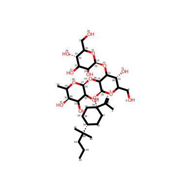 C=C(C)[C@]1(O[C@@H]2OC(CO)[C@@H](O)C(O[C@@H]3OC(CO)[C@@H](O)C(O)C3O)C2O[C@@H]2OC(C)[C@H](O)C(O)C2O)CC[C@@H](C(C)(C)CCC)CC1